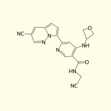 N#CCNC(=O)c1cnc(-c2ccc3cc(C#N)cnn23)cc1NC1COC1